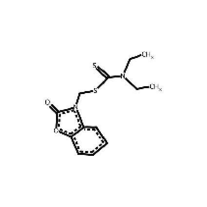 CCN(CC)C(=S)SCn1c(=O)oc2ccccc21